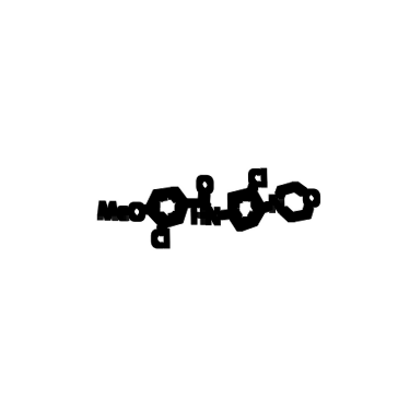 COc1ccc(C(=O)Nc2ccc(N3CCOCC3)c(Cl)c2)cc1Cl